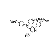 COc1ccc(N(Cc2ccnc(-c3ccc(OC)c(OC)c3)c2)C2CCNCC2)cc1.Cl.Cl